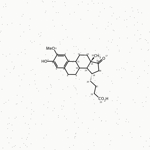 COc1cc2c(cc1O)CCC1C2CC[C@]2(C)C(=O)C[C@H](CCCC(=O)O)C12